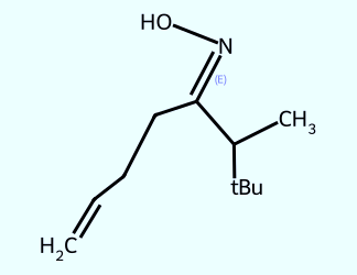 C=CCC/C(=N\O)C(C)C(C)(C)C